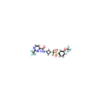 CC(C)([C@H]1C[C@@H](NC(=O)c2ccnc(C(F)(F)F)n2)C1)S(=O)(=O)c1cccc(OC(F)(F)F)c1